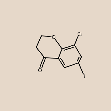 O=C1CCOc2c(Cl)cc(I)cc21